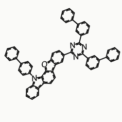 c1ccc(-c2ccc(-n3c4ccccc4c4ccc5c6cc(-c7nc(-c8cccc(-c9ccccc9)c8)nc(-c8cccc(-c9ccccc9)c8)n7)ccc6oc5c43)cc2)cc1